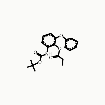 CCC(=O)Oc1c(NC(=O)OC(C)(C)C)cccc1Oc1ccccc1